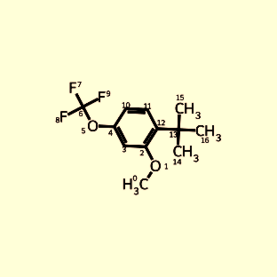 COc1cc(OC(F)(F)F)ccc1C(C)(C)C